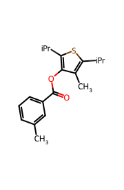 Cc1cccc(C(=O)Oc2c(C(C)C)sc(C(C)C)c2C)c1